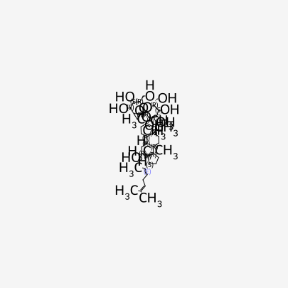 CC(C)=CC/C=C(\C)[C@H]1CC[C@]2(C)[C@@H]1[C@H](O)C[C@@H]1[C@@]3(C)CCC(O[C@@]45CC4(O[C@]4(C)O[C@H](CO)[C@@H](O)[C@H](O)[C@H]4O)[C@@H](O)[C@H](O)[C@@H](CO)O5)C(C)(C)[C@@H]3CC[C@]12C